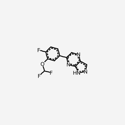 Fc1ccc(-c2cnc3cn[nH]c3n2)cc1OC(F)F